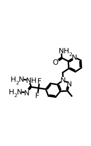 Cc1nn(Cc2cccnc2C(N)=O)c2cc(C(F)(F)/C(=N/N)NN)ccc12